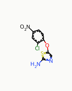 Nc1ncc(Oc2ccc([N+](=O)[O-])cc2Cl)s1